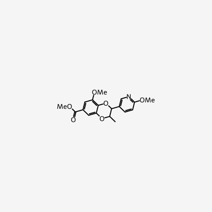 COC(=O)c1cc(OC)c2c(c1)OC(C)C(c1ccc(OC)nc1)O2